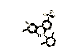 CCS(=O)(=O)c1ccc(Oc2c(C)cccc2C)c(-c2cn(C)c(=O)cc2Cl)c1